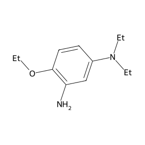 CCOc1ccc(N(CC)CC)cc1N